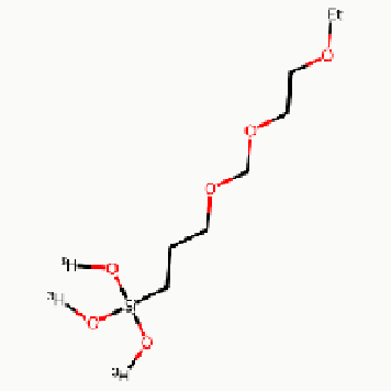 [3H]O[Si](CCCOCOCCOCC)(O[3H])O[3H]